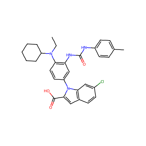 CCN(c1ccc(-n2c(C(=O)O)cc3ccc(Cl)cc32)cc1NC(=O)Nc1ccc(C)cc1)C1CCCCC1